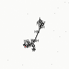 Cc1ncsc1-c1ccc([C@H](CC(=O)NCCCCCCCCNCCCONC(=O)c2ccc(F)c(F)c2Nc2ccc(I)cc2F)NC(=O)[C@@H]2C[C@@H](O)CN2C(=O)C(NC(=O)C2(F)CC2)C(C)(C)C)cc1